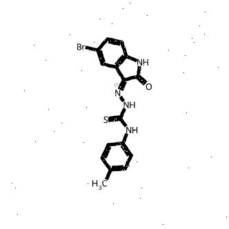 Cc1ccc(NC(=S)N/N=C2\C(=O)Nc3ccc(Br)cc32)cc1